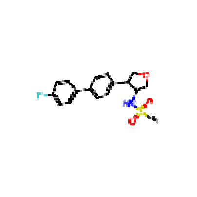 CC(C)S(=O)(=O)NC1COCC1c1ccc(-c2ccc(F)cc2)cc1